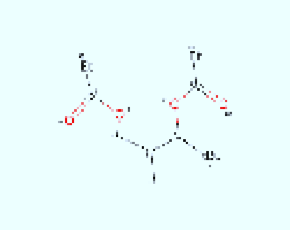 CCC(=O)OCC(C)C(OC(=O)CC)C(C)(C)C